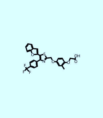 Cc1cc(OCc2nc(-c3ccc(C(F)(F)F)cc3)c(-c3cc4ccccc4o3)s2)ccc1OCC(=O)O